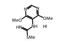 COc1ncnc(OC)c1NC(=N)SC.I